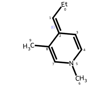 CC/C=C1\C=CN(C)C=C1C